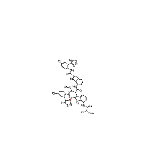 CCCCC(CC)C(=O)Nc1cccc2c(C(C(=O)Nc3cccc4cc(C(=O)Nc5ccc(Cl)cc5-c5nnn[nH]5)[nH]c34)C(=O)OC)c(C(=O)Nc3ccc(Cl)cc3-c3nnn[nH]3)[nH]c12